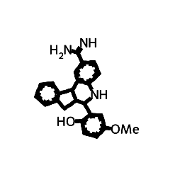 COc1ccc(O)c(C2Nc3ccc(C(=N)N)cc3C3c4ccccc4CC23)c1